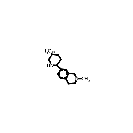 C[C@H]1CCC(c2ccc3c(c2)CN(C)CC3)NC1